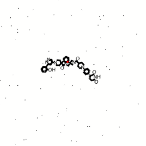 O=C1CC[C@H](c2ccc(N3CCC(C(=O)N4CC5(C4)CN(C(=O)C4(c6ccccc6)CCN(c6cnnc(-c7ccccc7O)c6)CC4)C5)CC3)cc2)C(=O)N1